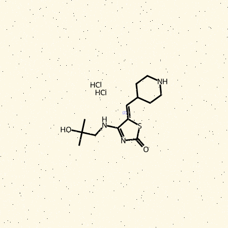 CC(C)(O)CNC1=NC(=O)S/C1=C\C1CCNCC1.Cl.Cl